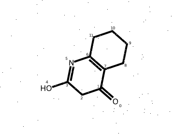 O=C1CC(O)=NC2=C1CCCC2